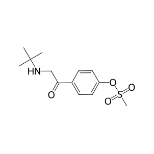 CC(C)(C)NCC(=O)c1ccc(OS(C)(=O)=O)cc1